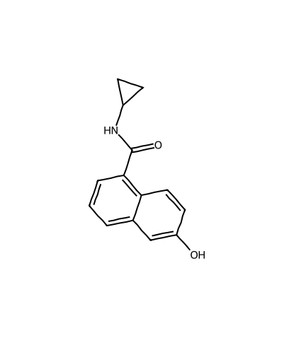 O=C(NC1CC1)c1cccc2cc(O)ccc12